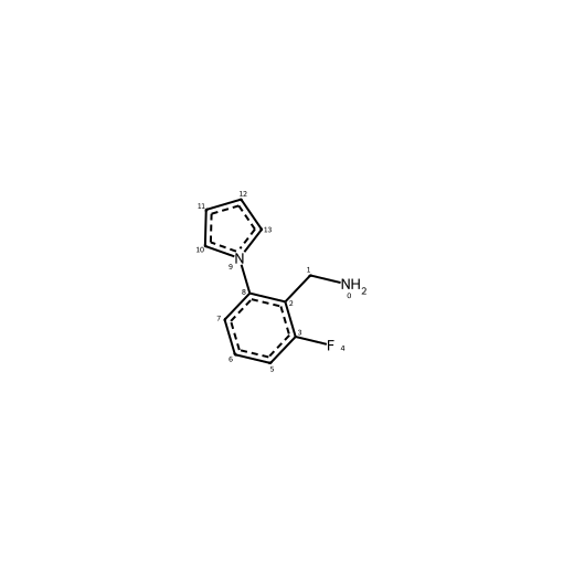 NCc1c(F)cccc1-n1cccc1